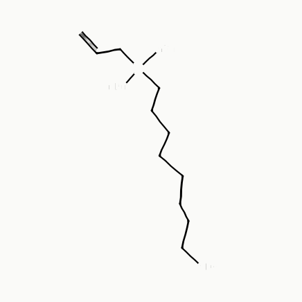 C=CC[PH](CCCC)(CCCC)CCCCCCCCCCCCCCCCCC